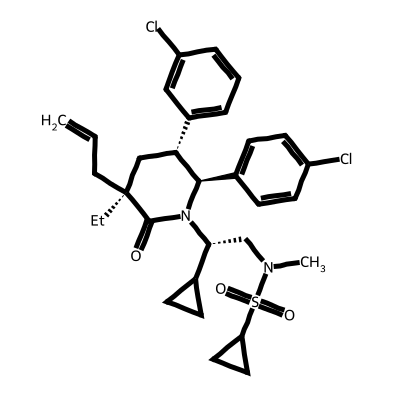 C=CC[C@@]1(CC)C[C@H](c2cccc(Cl)c2)[C@@H](c2ccc(Cl)cc2)N([C@H](CN(C)S(=O)(=O)C2CC2)C2CC2)C1=O